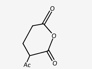 CC(=O)C1CCC(=O)OC1=O